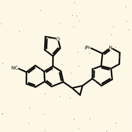 CC(C)C1=NCCc2ccc(C3CC3c3cc(-c4ccoc4)c4cc(C#N)ccc4c3)cc21